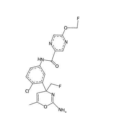 CC1=CC(CF)(c2cc(NC(=O)c3cnc(OCF)cn3)ccc2Cl)N=C(N)O1